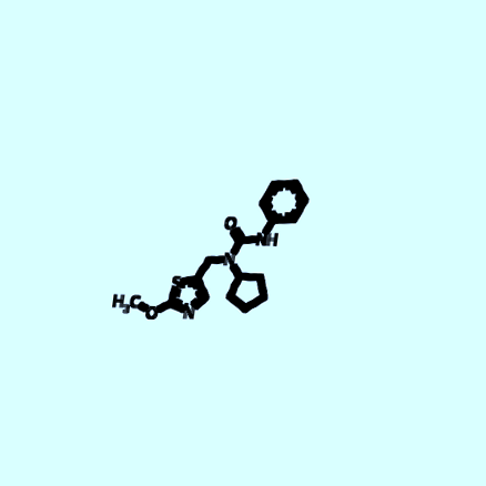 COc1ncc(CN(C(=O)Nc2ccccc2)C2CCCC2)s1